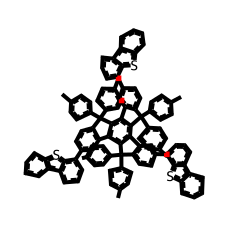 Cc1ccc(C2(c3ccc(C)cc3)c3ccc(-c4cccc5c4sc4ccccc45)cc3-c3c2c2c(c4c3C(c3ccc(C)cc3)(c3ccc(C)cc3)c3ccc(-c5cccc6c5sc5ccccc56)cc3-4)C(c3ccc(C)cc3)(c3ccc(C)cc3)c3ccc(-c4cccc5c4sc4ccccc45)cc3-2)cc1